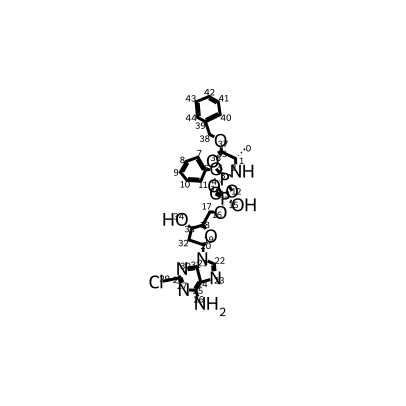 C[C@H](NP(=O)(Oc1ccccc1)OP(=O)(O)OCC1O[C@@H](n2cnc3c(N)nc(Cl)nc32)C[C@H]1O)C(=O)OCc1ccccc1